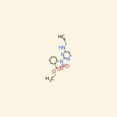 C#CCNc1ccnc(N(c2ccccc2C(=O)OCC)[N+](=O)[O-])n1